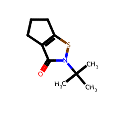 CC(C)(C)n1sc2c(c1=O)CCC2